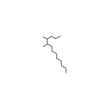 [CH2]CCC(C)C(C)CCCCCCCC